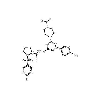 CCC(CC)N1CCN(c2nc(CNC(=O)[C@@H]3CCCN3S(=O)(=O)c3ccc(F)cc3)cc(-c3ccc(C(F)(F)F)cc3)n2)CC1